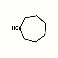 C1CC[CH2][GaH][CH2]C1